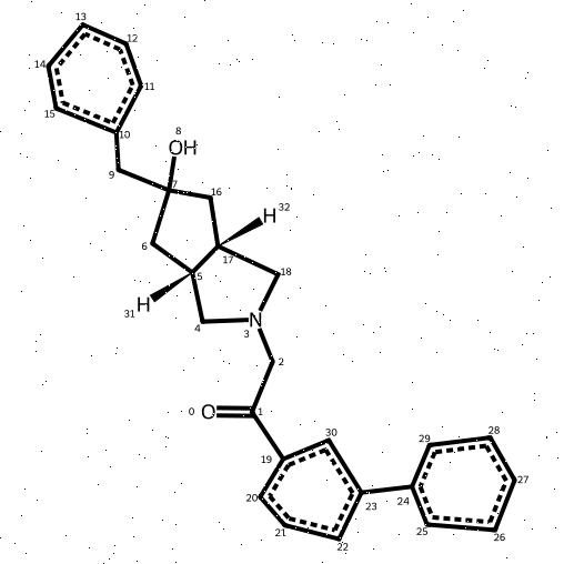 O=C(CN1C[C@@H]2CC(O)(Cc3ccccc3)C[C@@H]2C1)c1cccc(-c2ccccc2)c1